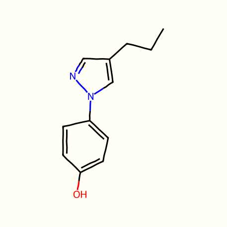 CCCc1cnn(-c2ccc(O)cc2)c1